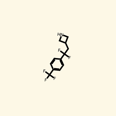 FC(F)(F)c1ccc(C(F)(F)CC2CNC2)cc1